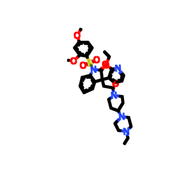 CCOc1ncccc1C1(CC(=O)N2CCC(N3CCN(CC)CC3)CC2)C(=O)N(S(=O)(=O)c2ccc(OC)cc2OC)c2ccccc21